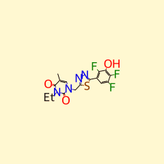 CCn1c(=O)c(C)cn(Cc2nnc(-c3cc(F)c(F)c(O)c3F)s2)c1=O